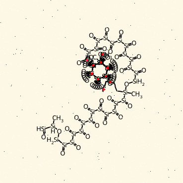 C[SiH](O[SiH2][Si](=O)[Si](=O)[Si](=O)[Si](=O)[Si](=O)[Si](=O)[Si](=O)[Si](=O)[Si](=O)[Si](=O)[Si](=O)[Si](=O)[Si](C)(CCC(F)(F)F)O[SiH2][Si](=O)[Si](=O)[Si](=O)[Si](=O)[Si](=O)[Si](=O)[Si](=O)[Si](=O)[Si](=O)[Si](=O)[Si](=O)[Si](=O)[Si](=O)[Si](=O)[Si](=O)[Si](=O)[Si](=O)[Si](=O)[Si](=O)[Si](=O)[Si](=O)[Si](=O)[Si](=O)[Si](=O)[Si](=O)[Si](=O)[Si](=O)[Si](=O)[Si](=O)[Si](=O)[Si](=O)[Si](=O)[Si](=O)[Si](=O)[Si](=O)[Si](=O)[Si](=O)[Si](=O)[Si](=O)[Si](=O)[Si](=O)[Si](=O)[Si](=O)[Si](=O)[Si](=O)[Si](=O)[Si](=O)[Si](C)(C)C)[SiH]=O